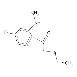 CCSCC(=O)c1ccc(F)cc1NC